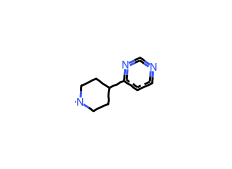 c1cc(C2CC[N]CC2)ncn1